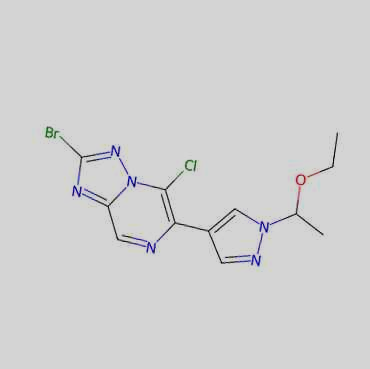 CCOC(C)n1cc(-c2ncc3nc(Br)nn3c2Cl)cn1